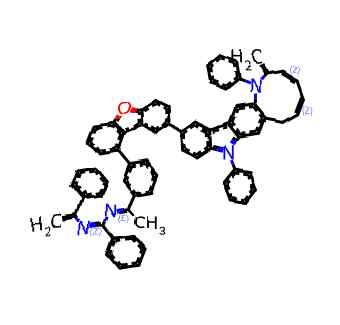 C=C(/N=C(\N=C(/C)c1cccc(-c2cccc3oc4ccc(-c5ccc6c(c5)c5cc7c(cc5n6-c5ccccc5)C/C=C\C=C/C(=C)N7c5ccccc5)cc4c23)c1)c1ccccc1)c1ccccc1